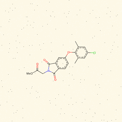 COC(=O)CN1C(=O)c2ccc(Oc3c(C)cc(Cl)cc3C)cc2C1=O